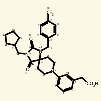 O=C(O)Cc1cccc(N2CCC3(CC2)C(=O)N(CC2CCCC2)C(=O)N3Cc2ccc(C(F)(F)F)cc2)c1